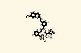 CC(CSC(CCc1ccccc1C(N)=O)c1cccc(CCc2ccc3ccc(Cl)cc3n2)c1)c1nnn[nH]1